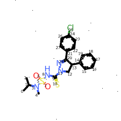 CC(C)N(C)S(=O)(=O)NC(=S)N1CC(c2ccccc2)C(c2ccc(Cl)cc2)=N1